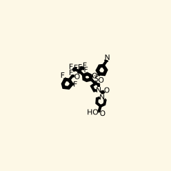 N#Cc1ccc(S(=O)(=O)C2(c3ccc(C(OCc4c(F)cccc4F)(C(F)(F)F)C(F)(F)F)cc3)CCN(C(=O)N3CCC(C(=O)O)CC3)C2)cc1